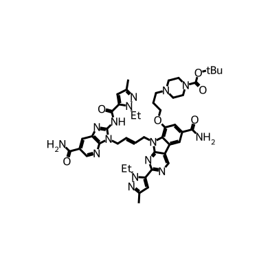 CCn1nc(C)cc1C(=O)Nc1nc2cc(C(N)=O)cnc2n1C/C=C/Cn1c2nc(-c3cc(C)nn3CC)ncc2c2cc(C(N)=O)cc(OCCCN3CCN(C(=O)OC(C)(C)C)CC3)c21